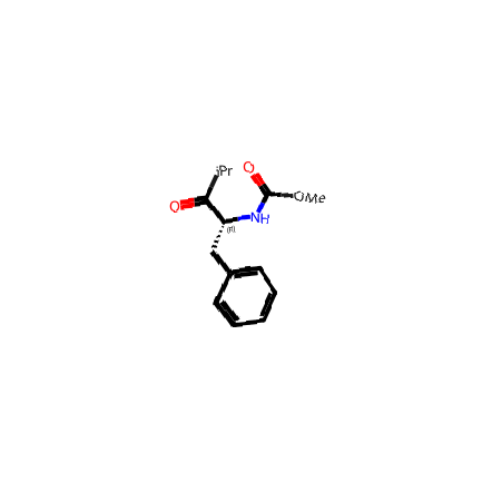 COC(=O)N[C@H](Cc1ccccc1)C(=O)C(C)C